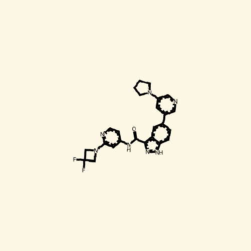 O=C(Nc1ccnc(N2CC(F)(F)C2)c1)c1n[nH]c2ccc(-c3cncc(N4CCCC4)c3)cc12